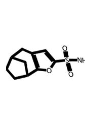 NS(=O)(=O)c1cc2c(o1)C1CCC(C2)C1